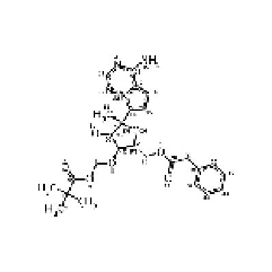 CC(C)(C)C(=O)OCO[C@H]1[C@@H](O)[C@](C)(c2ccc3c(N)ncnn23)O[C@@H]1COC(=O)Cc1ccccc1